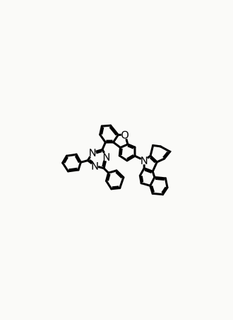 C1=Cc2c(n(-c3ccc4c(c3)oc3cccc(-c5nc(-c6ccccc6)nc(-c6ccccc6)n5)c34)c3ccc4ccccc4c23)CC1